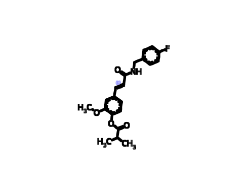 COc1cc(/C=C/C(=O)NCc2ccc(F)cc2)ccc1OC(=O)C(C)C